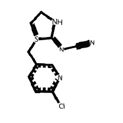 N#CN=C1NCC=S1Cc1ccc(Cl)nc1